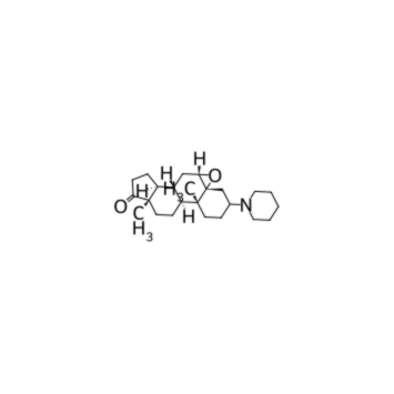 C[C@]12CC[C@H]3[C@@H](C[C@@H]4O[C@@]45CC(N4CCCCC4)CC[C@]35C)[C@@H]1CCC2=O